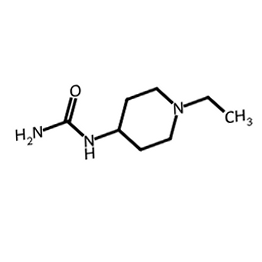 CCN1CCC(NC(N)=O)CC1